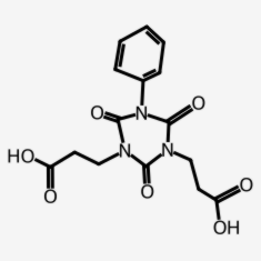 O=C(O)CCn1c(=O)n(CCC(=O)O)c(=O)n(-c2ccccc2)c1=O